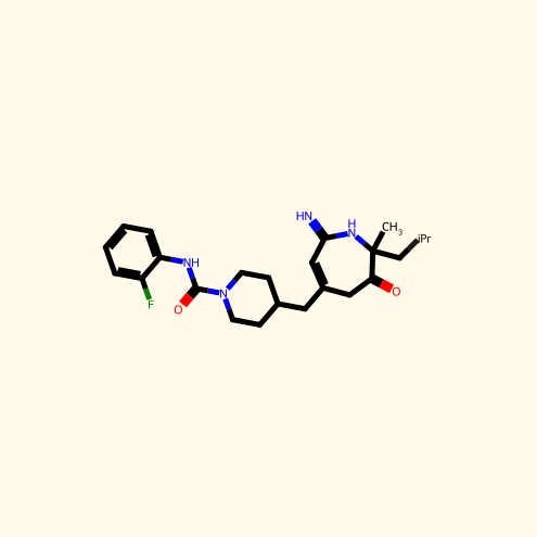 CC(C)CC1(C)NC(=N)C=C(CC2CCN(C(=O)Nc3ccccc3F)CC2)CC1=O